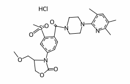 COCC1COC(=O)N1c1ccc(C(=O)N2CCN(c3nc(C)c(C)cc3C)CC2)c(S(C)(=O)=O)c1.Cl